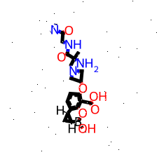 CN(C)C(=O)CNC(=O)C(C)(N)CN1CC(Oc2ccc3c(c2C(=O)O)OB(O)[C@H]2C[C@@H]32)C1